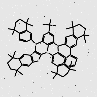 CC(C)(C)c1cc2c3c(c1)N(c1ccc4c(c1)C(C)(C)CCC4(C)C)c1c(oc4cc5c(cc14)C(C)(C)CCC5(C)C)B3c1cc3c(cc1N2c1cc2c(cc1-c1ccccc1)C(C)(C)CCC2(C)C)C(C)(C)CCC3(C)C